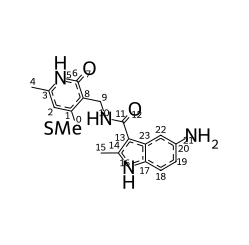 CSc1cc(C)[nH]c(=O)c1CNC(=O)c1c(C)[nH]c2ccc(N)cc12